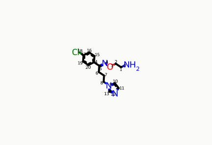 NCCON=C(CCCn1ccnc1)c1ccc(Cl)cc1